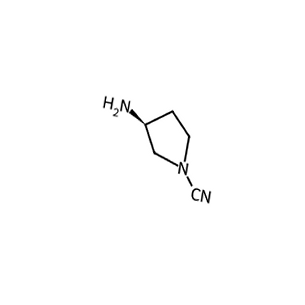 N#CN1CC[C@H](N)C1